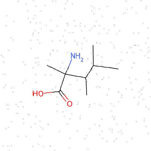 CC(C)C(C)C(C)(N)C(=O)O